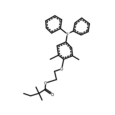 CCC(C)(C)C(=O)OCCOc1c(C)cc([S+](c2ccccc2)c2ccccc2)cc1C